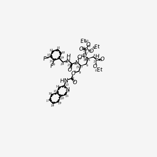 CCO[PH](=O)C[C@@H](C[C@@H](COC(=O)Nc1cc2ccccc2cn1)N(C)C(=O)NCc1cccc(F)c1F)OP(=O)(OCC)OCC